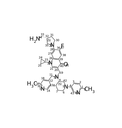 Cc1ccc(N2CCC[C@H](N(Cc3ccnc(C)c3)Cc3cn(C4CC4)c4cc(N5CC[C@@H](CN)C5)c(F)cc4c3=O)C2)cn1